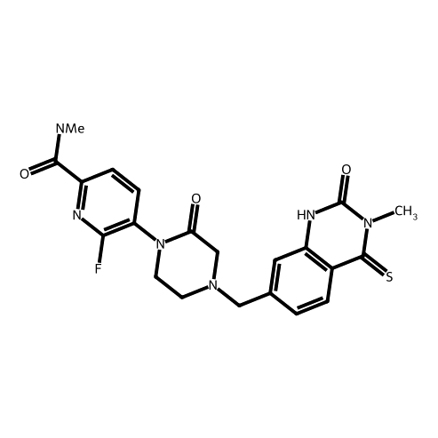 CNC(=O)c1ccc(N2CCN(Cc3ccc4c(=S)n(C)c(=O)[nH]c4c3)CC2=O)c(F)n1